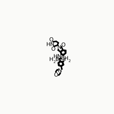 BC(B)(Nc1cccc2c1CN(C1CCC(=O)NC1=O)C2=O)c1ccc(CN2CCOCC2)cc1F